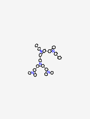 c1ccc(-c2ccc(-n3c4ccccc4c4cc(-c5ccc6c(c5)c5cc(-c7ccc(-n8c9ccc(-c%10ccc%11c(c%10)c%10ccccc%10n%11-c%10ccccc%10)cc9c9cc(-c%10ccc%11c(c%10)c%10ccccc%10n%11-c%10ccccc%10)ccc98)cc7)ccc5n6-c5ccc(-c6ccccc6)cc5)ccc43)cc2)cc1